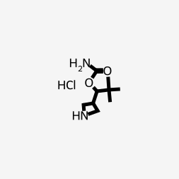 CC(C)(C)C(OC(N)=O)C1CNC1.Cl